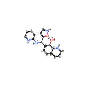 Oc1c(C(Nc2ccccn2)c2ccno2)ccc2cccnc12